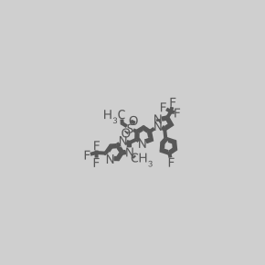 CCS(=O)(=O)c1cc(-n2nc(C(F)(F)F)cc2-c2ccc(F)cc2)cnc1-c1nc2cc(C(F)(F)F)ncc2n1C